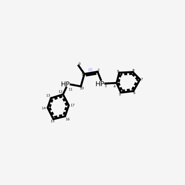 C/C(=C/Pc1ccccc1)CPc1ccccc1